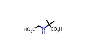 CC(C)(NCC(=O)O)C(=O)O